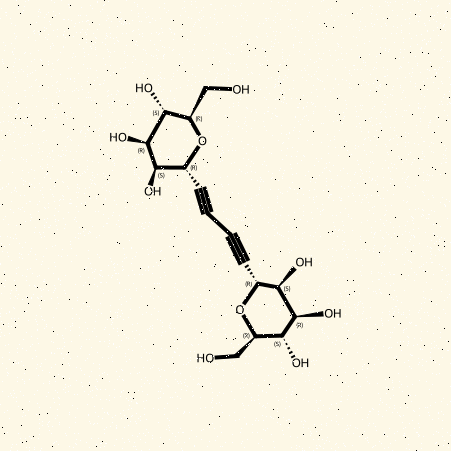 OC[C@H]1O[C@H](C#CC#C[C@H]2O[C@H](CO)[C@@H](O)[C@H](O)[C@@H]2O)[C@@H](O)[C@@H](O)[C@@H]1O